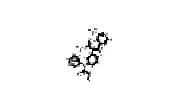 CCC(=O)N(c1ccc2[nH]c(-c3ccnc(C)c3)c(C(C)C)c2c1)C1CN2CCC1CC2